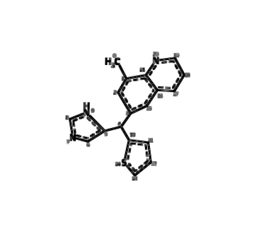 Cc1cc(C(c2cnc[nH]2)c2cccs2)cc2cccnc12